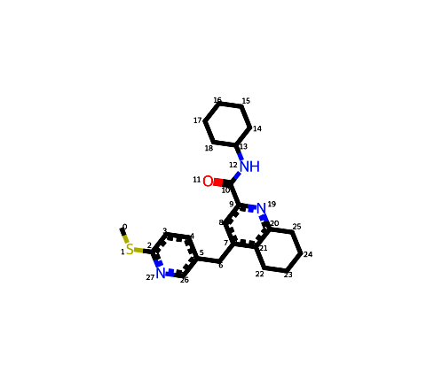 CSc1ccc(Cc2cc(C(=O)NC3CCCCC3)nc3c2CCCC3)cn1